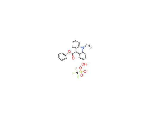 C[n+]1c2ccccc2c(C(=O)Oc2ccccc2)c2cc(O)ccc21.O=S(=O)([O-])C(F)(F)F